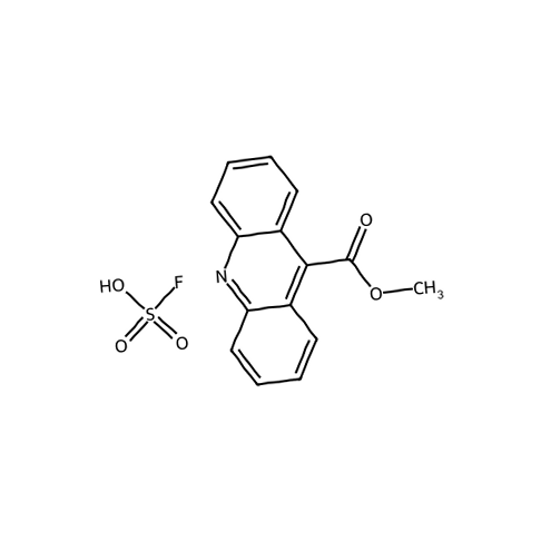 COC(=O)c1c2ccccc2nc2ccccc12.O=S(=O)(O)F